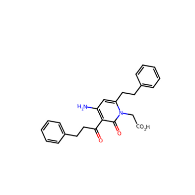 Nc1cc(CCc2ccccc2)n(CC(=O)O)c(=O)c1C(=O)CCc1ccccc1